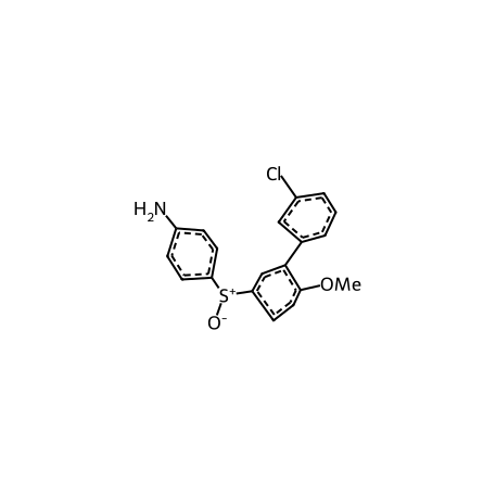 COc1ccc([S+]([O-])c2ccc(N)cc2)cc1-c1cccc(Cl)c1